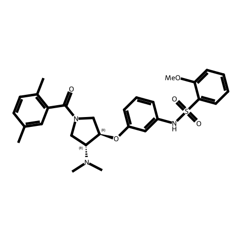 COc1ccccc1S(=O)(=O)Nc1cccc(O[C@@H]2CN(C(=O)c3cc(C)ccc3C)C[C@H]2N(C)C)c1